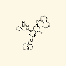 NC1(CNc2nc(OCC34CCCN3CCC4)nc3c(F)c(-c4cccc5cccc(F)c45)ncc23)CCC1